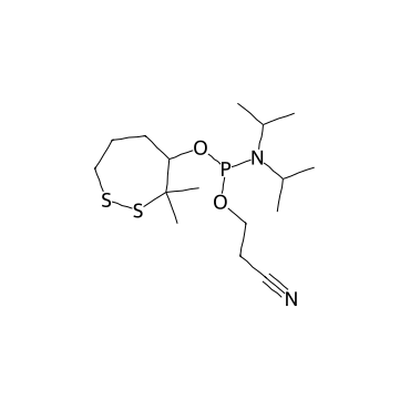 CC(C)N(C(C)C)P(OCCC#N)OC1CCCSSC1(C)C